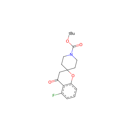 CC(C)(C)OC(=O)N1CCC2(CC1)CC(=O)c1c(F)cccc1O2